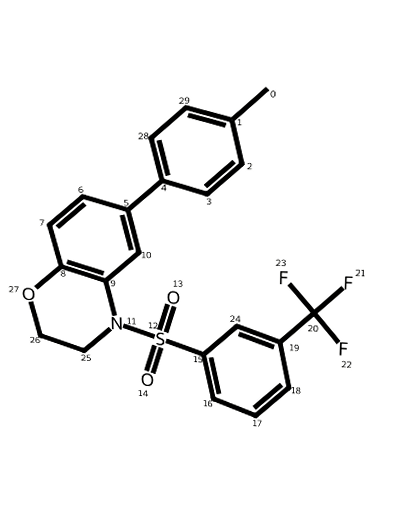 Cc1ccc(-c2ccc3c(c2)N(S(=O)(=O)c2cccc(C(F)(F)F)c2)CCO3)cc1